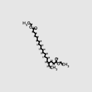 CCOC(=O)CCCCCCCCCCCCCCCC(CC)CCC(=O)OCC